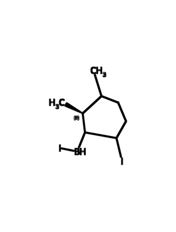 CC1CCC(I)C(BI)[C@H]1C